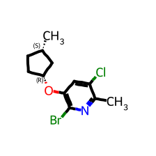 Cc1nc(Br)c(O[C@@H]2CC[C@H](C)C2)cc1Cl